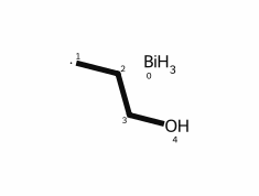 [BiH3].[CH2]CCO